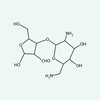 NCC1OC(OC2C(CO)OC(O)C2C=O)C(N)C(O)C1O